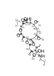 CCCNC[C@]1(O)[C@H](C)O[C@@H](O[C@H]2[C@H](C)C[C@](C)(OC)C[C@@H](C)C(=O)[C@H](C)[C@@H](O)[C@](C)(O)[C@@H](CC)OC(=O)[C@@H]2C)C[C@@]1(C)OC